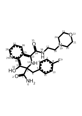 NC(=O)C1(Cc2ccc(F)cc2)NC(C(=O)NCCN2CCOCC2)=c2cccnc2=C1O